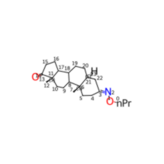 CCCON=C1CC[C@]2(C)C3CC[C@]4(C)C(=O)CCC4C3CC[C@H]2C1